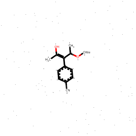 COOC(C)/C(=C(/C)O)c1ccc(C#N)cc1